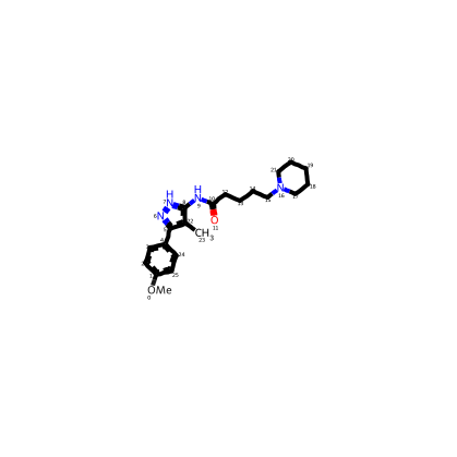 COc1ccc(-c2n[nH]c(NC(=O)CCCCN3CCCCC3)c2C)cc1